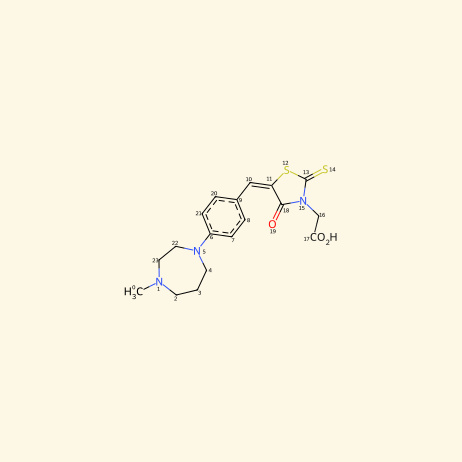 CN1CCCN(c2ccc(C=C3SC(=S)N(CC(=O)O)C3=O)cc2)CC1